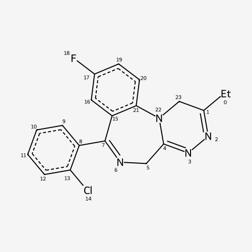 CCC1=NN=C2CN=C(c3ccccc3Cl)c3cc(F)ccc3N2C1